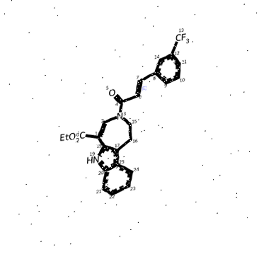 CCOC(=O)C1=CN(C(=O)/C=C/c2cccc(C(F)(F)F)c2)CCc2c1[nH]c1ccccc21